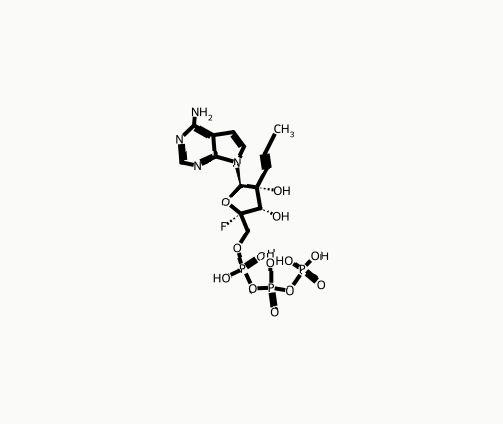 CC#C[C@]1(O)[C@H](n2ccc3c(N)ncnc32)O[C@](F)(COP(=O)(O)OP(=O)(O)OP(=O)(O)O)[C@H]1O